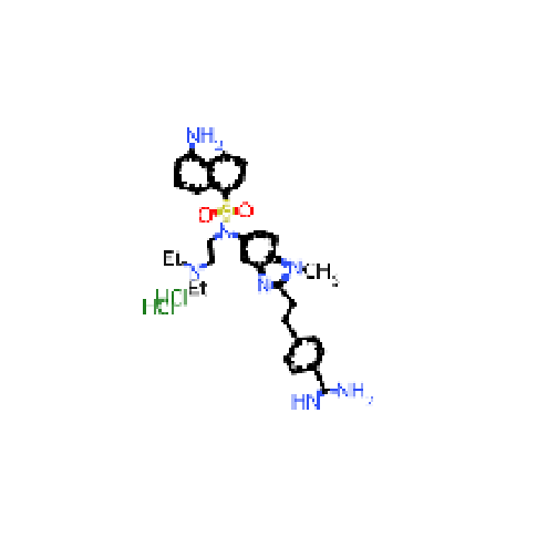 CCN(CC)CCN(c1ccc2c(c1)nc(CCc1ccc(C(=N)N)cc1)n2C)S(=O)(=O)c1cccc2c(N)cccc12.Cl.Cl